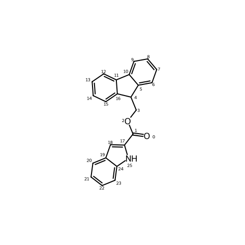 O=C(OCC1c2ccccc2-c2ccccc21)c1cc2ccccc2[nH]1